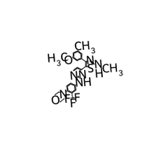 CCNc1nc(-c2cc(C)cc(OC)c2)c(-c2ccnc(Nc3ccc(N4CCOCC4)c(C(F)(F)F)c3)n2)s1